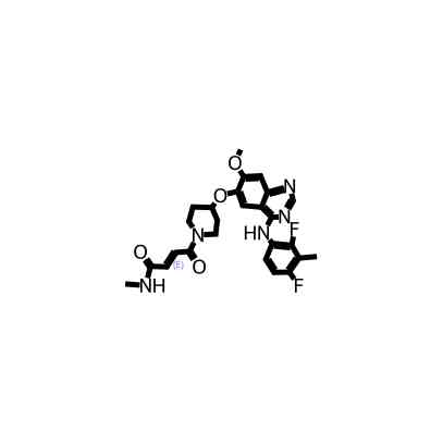 CNC(=O)/C=C/C(=O)N1CCC(Oc2cc3c(Nc4ccc(F)c(C)c4F)ncnc3cc2OC)CC1